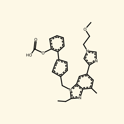 CCc1nc2c(C)cc(-c3cn(CCOC)cn3)cc2n1Cc1ccc(-c2ccccc2OC(=O)O)cc1